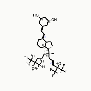 [2H]C([2H])([2H])C(O)(CCC[C@@](C)(C/C=C/C(O)(C(F)(F)F)C(F)(F)F)[C@H]1CCC2/C(=C/C=C3C[C@@H](O)C[C@H](O)C3)CCC[C@@]21C)C([2H])([2H])[2H]